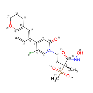 C[C@@](CCn1cc(F)c(-c2ccc3c(c2)CCCO3)cc1=O)(C(=O)NO)S(C)(=O)=O